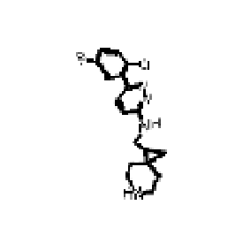 Fc1ccc(Cl)c(-c2ccc(NCC3CC34CCNCC4)nn2)c1